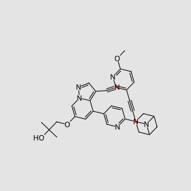 COc1ccc(C#CCN2C3CC2CN(c2ccc(-c4cc(OCC(C)(C)O)cn5ncc(C#N)c45)cn2)C3)cn1